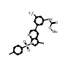 Cc1ccc(S(=O)(=O)n2cc(I)c3cc(-c4cc(NC(=O)OC(C)(C)C)cc(C(F)(F)F)c4)cnc32)cc1